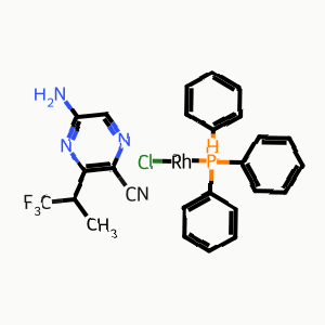 CC(c1nc(N)cnc1C#N)C(F)(F)F.[Cl][Rh][PH](c1ccccc1)(c1ccccc1)c1ccccc1